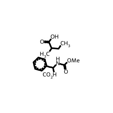 CCC(C)C(=O)O.COC(=O)NC(C(=O)O)c1ccccc1